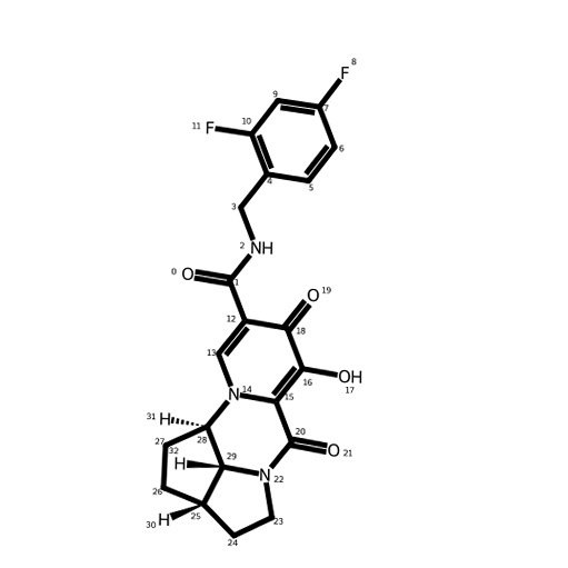 O=C(NCc1ccc(F)cc1F)c1cn2c(c(O)c1=O)C(=O)N1CC[C@@H]3CC[C@@H]2[C@@H]31